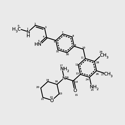 CN/C=C\C(=N)c1ccc(Cc2cc(C(=O)N(N)C3CCCOC3)c(N)c(C)c2C)cc1